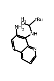 [CH2]C(Nc1c(N)cnc2cccnc12)C(C)(C)C